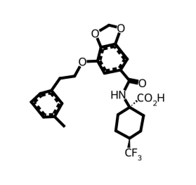 Cc1cccc(CCOc2cc(C(=O)N[C@]3(C(=O)O)CC[C@H](C(F)(F)F)CC3)cc3c2OCO3)c1